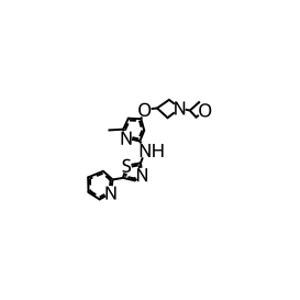 Cc1cc(OC2CN(C3COC3)C2)cc(Nc2ncc(-c3ccccn3)s2)n1